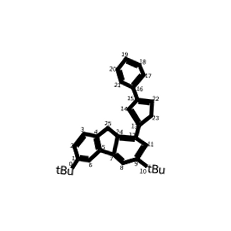 CC(C)(C)c1ccc2c(c1)-c1cc(C(C)(C)C)cc(C3=CC(c4ccccc4)=CC3)c1[CH]2